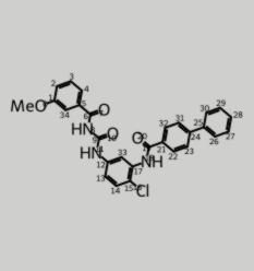 COc1cccc(C(=O)NC(=O)Nc2ccc(Cl)c(NC(=O)c3ccc(-c4ccccc4)cc3)c2)c1